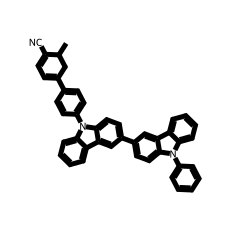 CC1CC(c2ccc(-n3c4ccccc4c4cc(-c5ccc6c(c5)c5ccccc5n6-c5ccccc5)ccc43)cc2)=CC=C1C#N